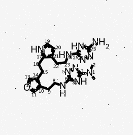 CN(C)c1nnc(NCCc2cocc2CCc2[nH]ccc2CCNc2nnc(N)[nH]2)[nH]1